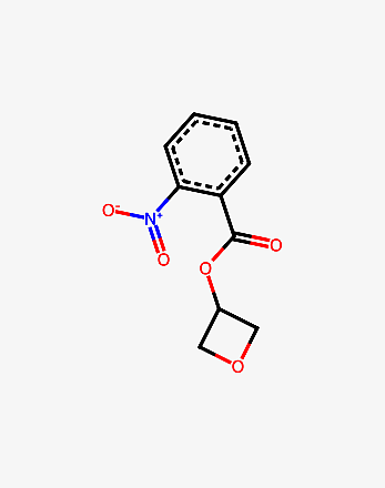 O=C(OC1COC1)c1ccccc1[N+](=O)[O-]